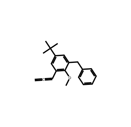 C=C=Cc1cc(C(C)(C)C)cc(Cc2ccccc2)c1OC